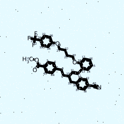 COC(=O)c1ccc(CCC(C=Cc2ccccc2OCCCCOc2ccc(C(F)(F)F)cc2)Cc2ccc(C#N)cc2)cc1